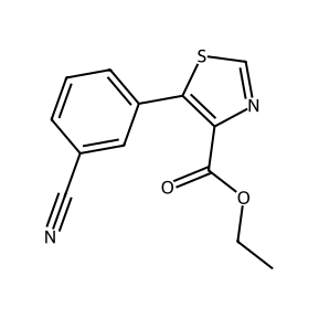 CCOC(=O)c1ncsc1-c1cccc(C#N)c1